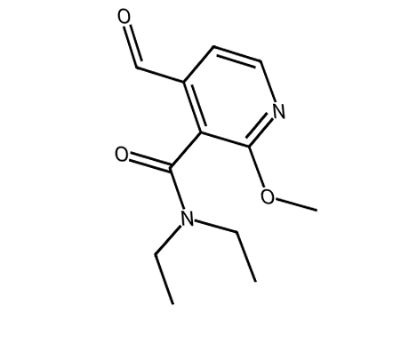 CCN(CC)C(=O)c1c(C=O)ccnc1OC